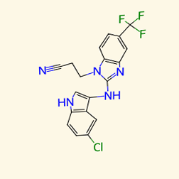 N#CCCn1c(Nc2c[nH]c3ccc(Cl)cc23)nc2cc(C(F)(F)F)ccc21